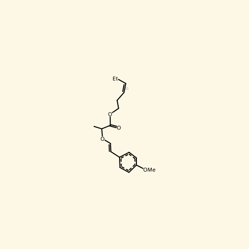 CC/C=C\CCOC(=O)C(C)OC=Cc1ccc(OC)cc1